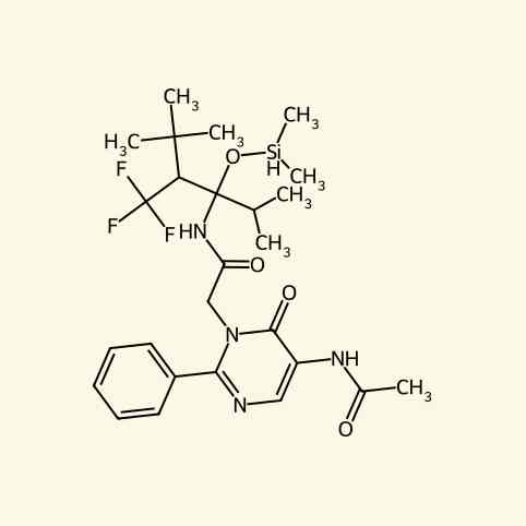 CC(=O)Nc1cnc(-c2ccccc2)n(CC(=O)NC(O[SiH](C)C)(C(C)C)C(C(C)(C)C)C(F)(F)F)c1=O